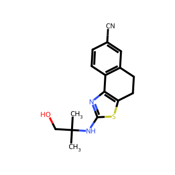 CC(C)(CO)Nc1nc2c(s1)CCc1cc(C#N)ccc1-2